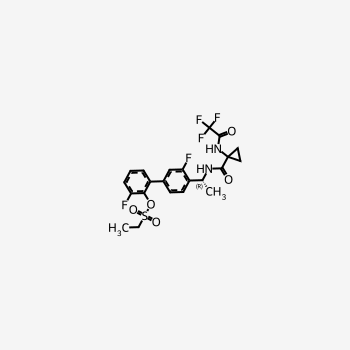 CCS(=O)(=O)Oc1c(F)cccc1-c1ccc([C@@H](C)NC(=O)C2(NC(=O)C(F)(F)F)CC2)c(F)c1